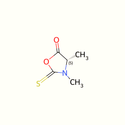 C[C@H]1C(=O)OC(=S)N1C